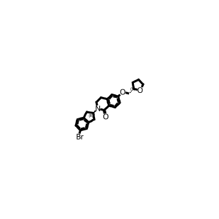 O=C1c2ccc(OC[C@@H]3CCCO3)cc2CCN1[C@@H]1Cc2ccc(Br)cc2C1